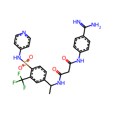 CC(NC(=O)CC(=O)Nc1ccc(C(=N)N)cc1)c1ccc(S(=O)(=O)Nc2ccncc2)c(C(F)(F)F)c1